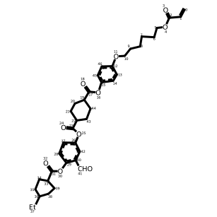 C=CC(=O)OCCCCCCOc1ccc(OC(=O)C2CCC(C(=O)Oc3ccc(OC(=O)C4CCC(CC)CC4)c(C=O)c3)CC2)cc1